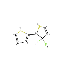 FC1(F)C=CSC1c1cccs1